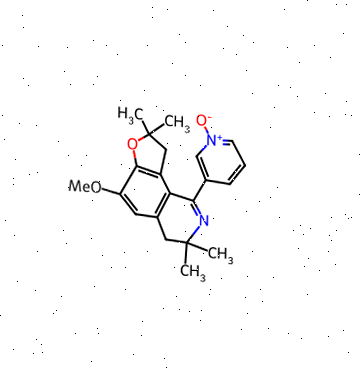 COc1cc2c(c3c1OC(C)(C)C3)C(c1ccc[n+]([O-])c1)=NC(C)(C)C2